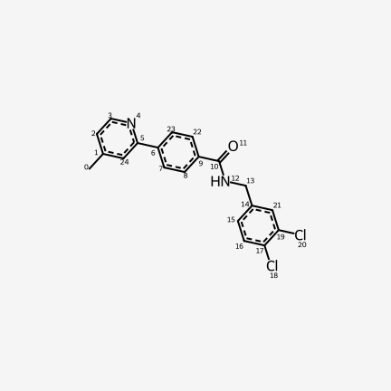 Cc1ccnc(-c2ccc(C(=O)NCc3ccc(Cl)c(Cl)c3)cc2)c1